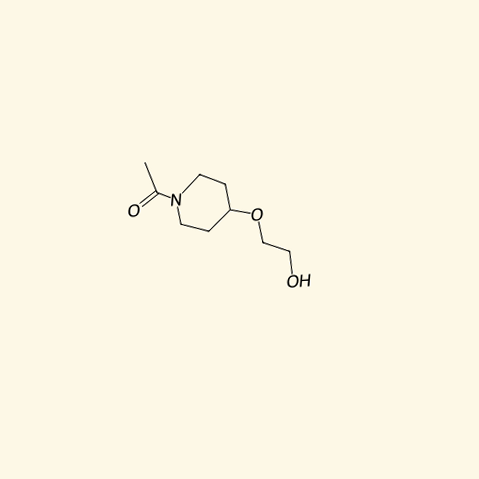 CC(=O)N1CCC(OCCO)CC1